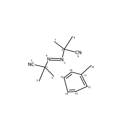 CC(C)(C#N)/N=N/C(C)(C)C#N.Cc1ccccc1